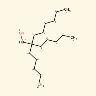 CCCCCCC(BO)(CCCCC)CCCCC